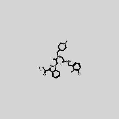 CN1CCC(CN(CC(=O)NCc2cccc(Cl)c2F)C(=O)CN2N=C(C(N)=O)C3=CC=CCC32)CC1